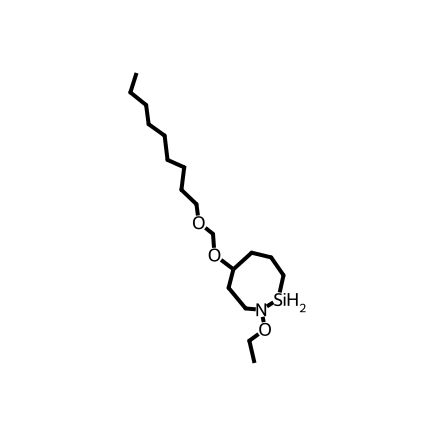 CCCCCCCCCOCOC1CCC[SiH2]N(OCC)CC1